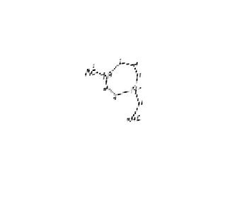 CC(=O)CN1CCCN(C(C)=O)CC1